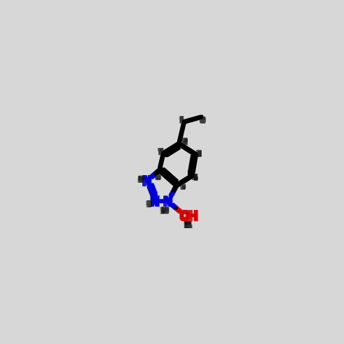 CCc1ccc2c(c1)nnn2O